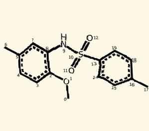 COc1ccc(C)cc1NS(=O)(=O)c1ccc(C)cc1